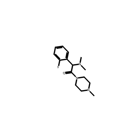 CN1CCN(C(=O)C(c2ccccc2F)N(C)C)CC1